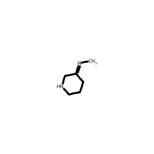 CN=C1CCCNC1